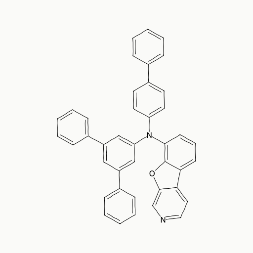 c1ccc(-c2ccc(N(c3cc(-c4ccccc4)cc(-c4ccccc4)c3)c3cccc4c3oc3cnccc34)cc2)cc1